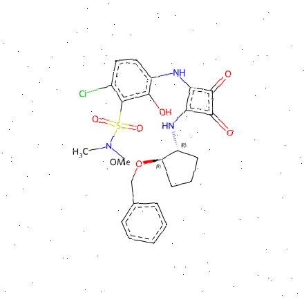 CON(C)S(=O)(=O)c1c(Cl)ccc(Nc2c(N[C@@H]3CCC[C@H]3OCc3ccccc3)c(=O)c2=O)c1O